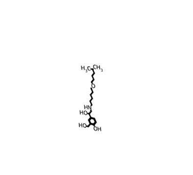 CC(C)CCCCOCCCCCCNCC(O)c1ccc(O)c(CO)c1